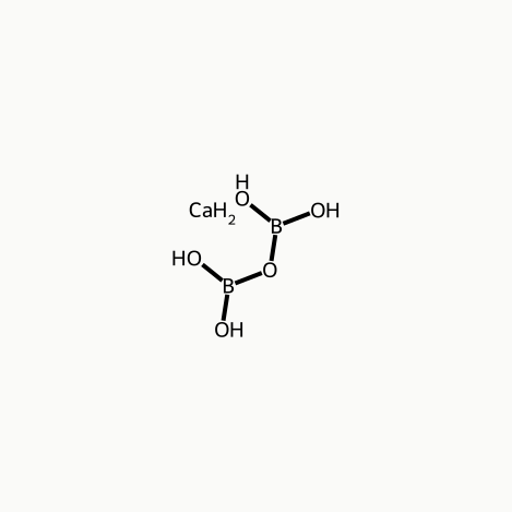 OB(O)OB(O)O.[CaH2]